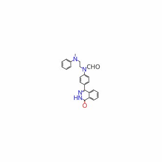 CN(CCN(C=O)c1ccc(-c2n[nH]c(=O)c3ccccc23)cc1)c1ccccc1